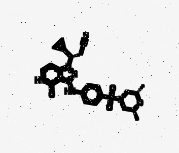 C[C@H]1CN(S(=O)(=O)c2ccc(Nc3nn([C@@H](CC#N)C4CC4)c4cc[nH]c(=O)c34)cc2)C[C@H](C)O1